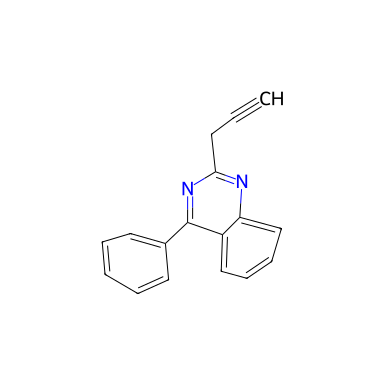 C#CCc1nc(-c2ccccc2)c2ccccc2n1